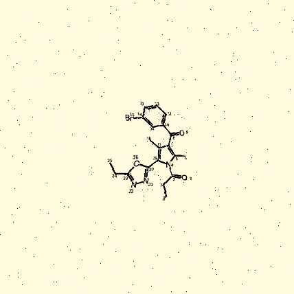 CCC(=O)n1c(C)c(C(=O)c2cccc(Br)c2)c(C)c1-c1nnc(CC)o1